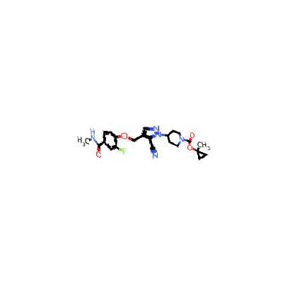 CNC(=O)c1ccc(OCc2cnn(C3CCN(C(=O)OC4(C)CC4)CC3)c2C#N)c(F)c1